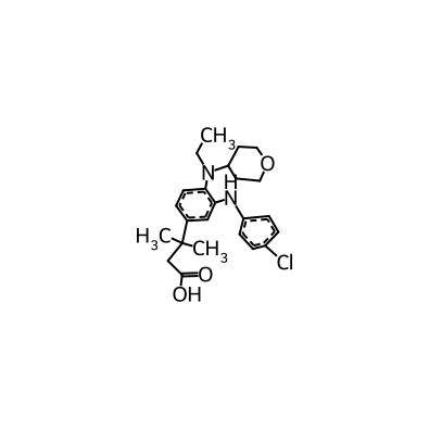 CCN(c1ccc(C(C)(C)CC(=O)O)cc1Nc1ccc(Cl)cc1)C1CCOCC1